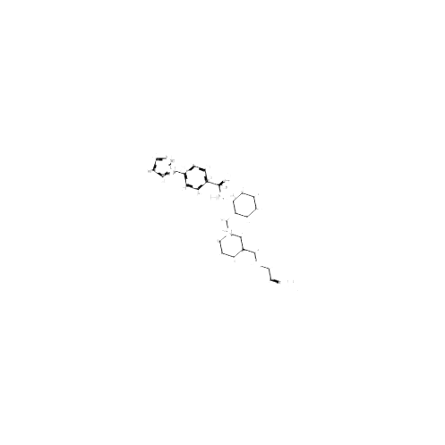 C=CCOCC1CCCN(C[C@@H]2CCCC[C@H]2NC(=O)c2ccc(-n3cccn3)cc2)C1